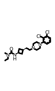 CCN(C)C(=O)N[C@H]1C[C@@H](CCN2CCN(c3cccc(Cl)c3Cl)CC2)C1